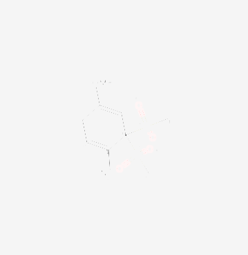 COC1=CC(S(C)(=O)=O)(S(C)(=O)=O)C([N+](=O)[O-])=CC1